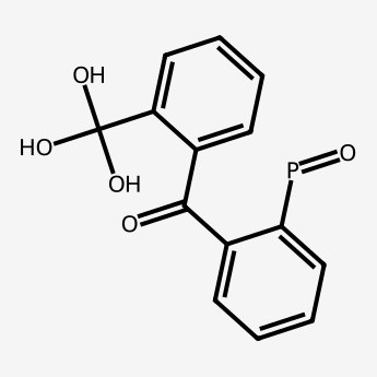 O=Pc1ccccc1C(=O)c1ccccc1C(O)(O)O